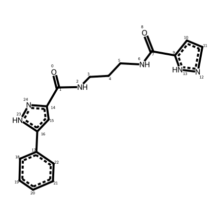 O=C(NCCCNC(=O)c1ccn[nH]1)c1cc(-c2ccccc2)[nH]n1